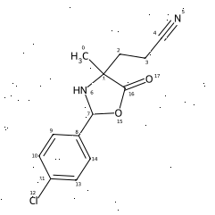 CC1(CCC#N)NC(c2ccc(Cl)cc2)OC1=O